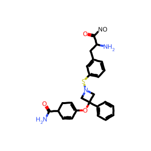 NC(=O)C1C=CC(OC2(c3ccccc3)CN(Sc3cccc(CC(N)C(=O)N=O)c3)C2)=CC1